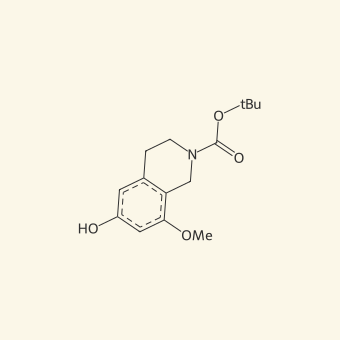 COc1cc(O)cc2c1CN(C(=O)OC(C)(C)C)CC2